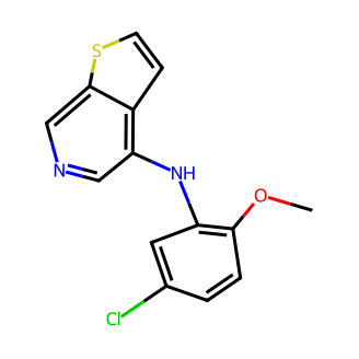 COc1ccc(Cl)cc1Nc1cncc2sccc12